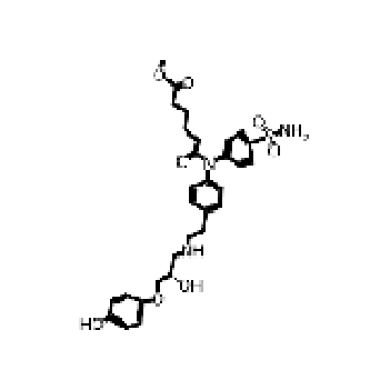 COC(=O)CCCCC(=O)N(c1ccc(CCNC[C@H](O)COc2ccc(O)cc2)cc1)c1ccc(S(N)(=O)=O)cc1